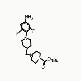 CC(C)(C)OC(=O)N1CCN(CC2CCN(c3c(F)cc(N)cc3F)CC2)CC1